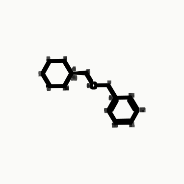 [CH]1CCC[C@@H](COCc2ccccc2)C1